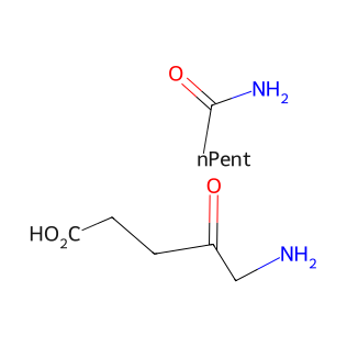 CCCCCC(N)=O.NCC(=O)CCC(=O)O